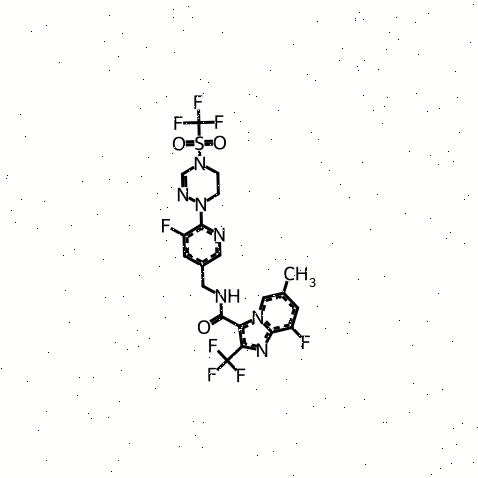 Cc1cc(F)c2nc(C(F)(F)F)c(C(=O)NCc3cnc(N4CCN(S(=O)(=O)C(F)(F)F)C=N4)c(F)c3)n2c1